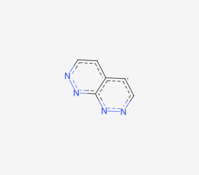 [c]1cnnc2nnccc12